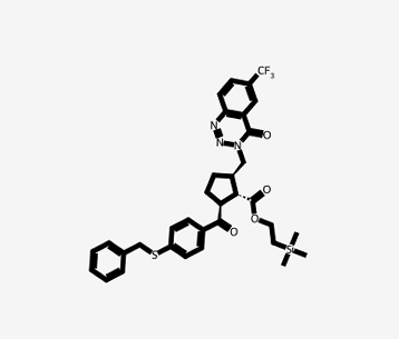 C[Si](C)(C)CCOC(=O)[C@H]1[C@H](Cn2nnc3ccc(C(F)(F)F)cc3c2=O)CC[C@@H]1C(=O)c1ccc(SCc2ccccc2)cc1